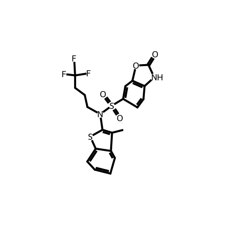 Cc1c(N(CCCC(F)(F)F)S(=O)(=O)c2ccc3[nH]c(=O)oc3c2)sc2ccccc12